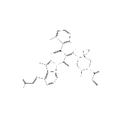 C=CC(=O)N1CC2(CC2)N(/C(O)=C(/C(=N)c2c(F)cccc2Cl)C(=O)n2cc(C)c3c(/C=C/C(=O)O)cccc32)CC1I